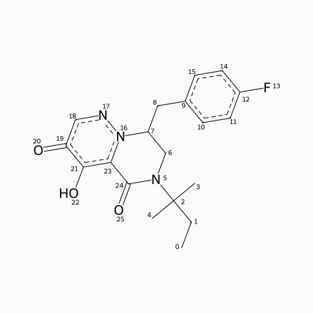 CCC(C)(C)N1CC(Cc2ccc(F)cc2)n2ncc(=O)c(O)c2C1=O